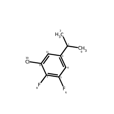 CC(C)c1cc(F)c(F)c(Cl)c1